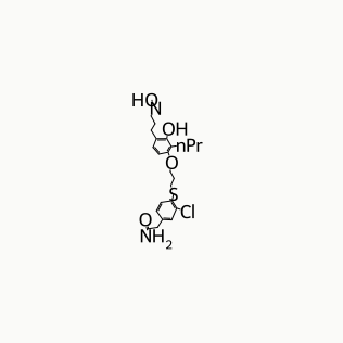 CCCc1c(OCCCSc2ccc(CC(N)=O)cc2Cl)ccc(CCC=NO)c1O